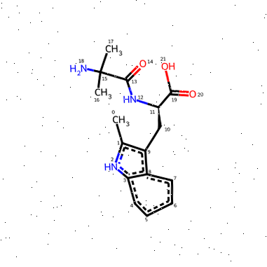 Cc1[nH]c2ccccc2c1C[C@@H](NC(=O)C(C)(C)N)C(=O)O